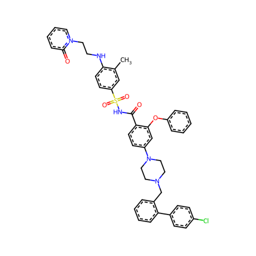 Cc1cc(S(=O)(=O)NC(=O)c2ccc(N3CCN(Cc4ccccc4-c4ccc(Cl)cc4)CC3)cc2Oc2ccccc2)ccc1NCCn1ccccc1=O